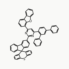 c1ccc(-c2ccc(-c3cc(-c4cccc5c4oc4ccccc45)nc(-c4ccc5c(c4)-c4ccccc4C54c5ccccc5Sc5ccccc54)n3)c(-c3ccccc3)c2)cc1